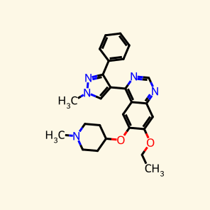 CCOc1cc2ncnc(-c3cn(C)nc3-c3ccccc3)c2cc1OC1CCN(C)CC1